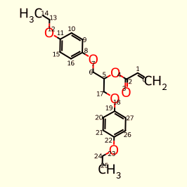 C=CC(=O)OC(COc1ccc(OCC)cc1)COc1ccc(OCC)cc1